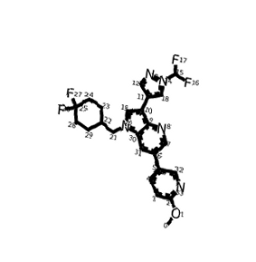 COc1ccc(-c2cnc3c(-c4cnn(C(F)F)c4)cn(CC4CCC(F)(F)CC4)c3c2)cn1